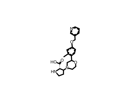 Cc1cc(OCc2cccnc2)ccc1C1CN(C2CCN[C@@H]2C(=O)O)CCO1